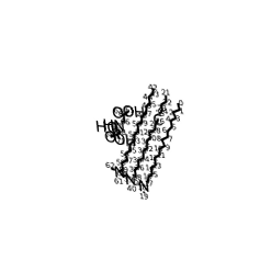 CCCCCCCCCCCCCCCCCCN(C)C.CCCCCCCCCCCCCCCCCCN(C)C.CCCCCCCCCCCCCCCCCCN(C)C.O=C(O)CNCP(=O)(O)O